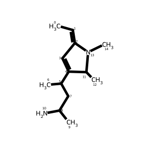 C/C=C1\C=C(C(C)CC(C)N)C(C)N1C